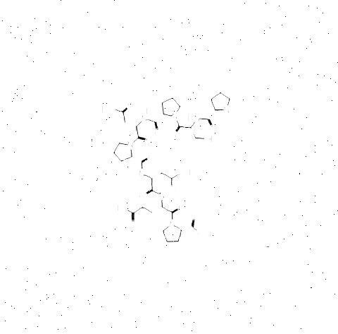 CC(C)C[C@H](NC(=O)[C@@H]1CCCN1C(=O)[C@H](CC(=O)O)NC(=O)[C@@H]1CCCN1C(=O)[C@H](CO)NC(=O)[C@@H]1CCCN1)C(=O)N[C@@H](CCC(=O)O)C(=O)N1CCC[C@H]1C(=O)O